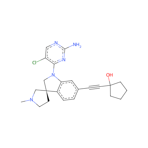 CN1CC[C@@]2(C1)CN(c1nc(N)ncc1Cl)c1cc(C#CC3(O)CCCC3)ccc12